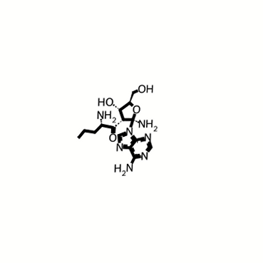 CCC[C@H](N)C(=O)[C@@H]1[C@H](O)[C@@H](CO)O[C@@]1(N)n1cnc2c(N)ncnc21